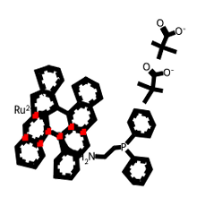 CC(C)(C)C(=O)[O-].CC(C)(C)C(=O)[O-].NCCP(c1ccccc1)c1ccccc1.[Ru+2].c1ccc(P(c2ccccc2)c2ccc3ccccc3c2-c2c(P(c3ccccc3)c3ccccc3)ccc3ccccc23)cc1